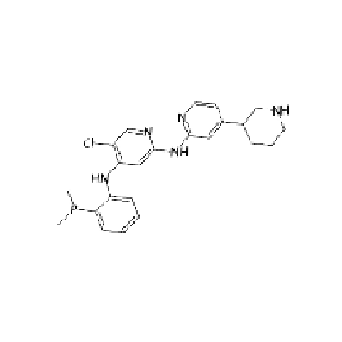 CP(C)c1ccccc1Nc1cc(Nc2cc(C3CCCNC3)ccn2)ncc1Cl